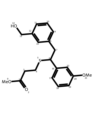 COC(=O)CCSC(Cc1cccc(CO)c1)c1cccc(OC)c1